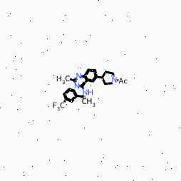 CC(=O)N1CCC(c2ccc3nc(C)nc(N[C@H](C)c4cccc(C(F)(F)F)c4)c3c2)CC1